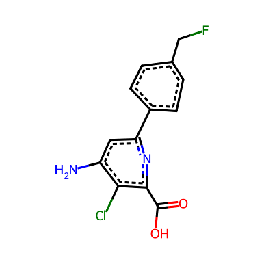 Nc1cc(-c2ccc(CF)cc2)nc(C(=O)O)c1Cl